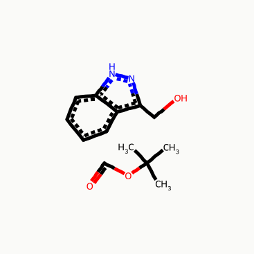 CC(C)(C)OC=O.OCc1n[nH]c2ccccc12